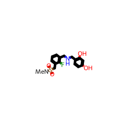 CNS(=O)(=O)Cc1cccc(CNCc2ccc(O)cc2O)c1F